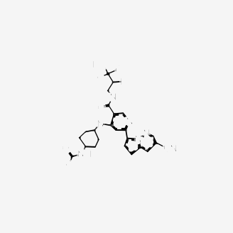 CC(C)(O)C(F)CNC(=O)c1cnc(-c2ccc3cc(C#N)cnn23)cc1NC1CCC(NC(=O)C(F)(F)F)CC1